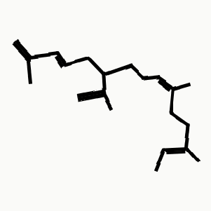 C=C(C)C=CCC(CCC=C(C)CCC(C)=CC)C(=C)C